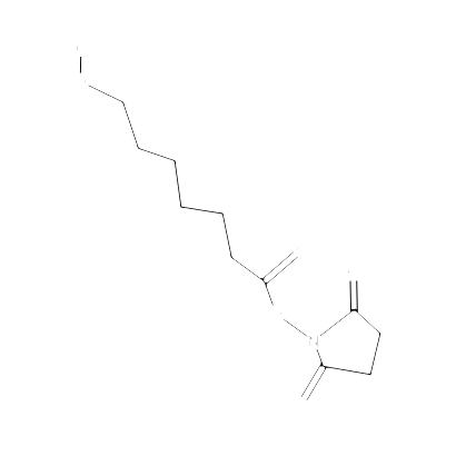 COCCCCCCC(=O)ON1C(=O)CCC1=O